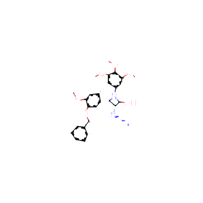 COc1ccc([C@H]2[C@H](N=[N+]=[N-])C(O)N2c2cc(OC)c(OC)c(OC)c2)cc1OCc1ccccc1